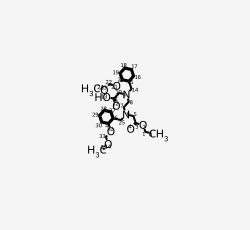 CCOC(=O)CN(CCN(CC(=O)O)Cc1ccccc1OCOC)Cc1ccccc1OCOC